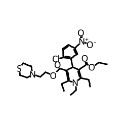 CCOC(=O)C1=C(CC)N(CC)C(CC)=C(C(=O)OCCN2CCSCC2)C1c1cc([N+](=O)[O-])ccc1Cl